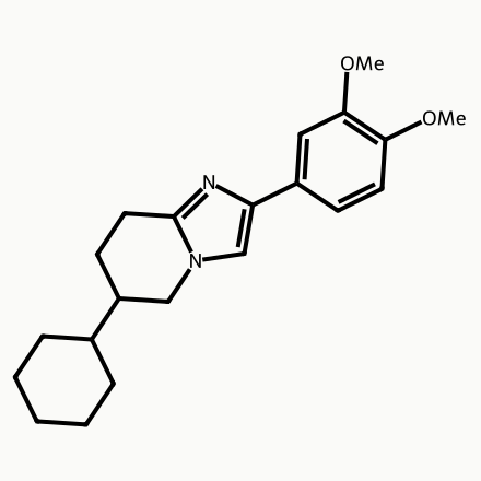 COc1ccc(-c2cn3c(n2)CCC(C2CCCCC2)C3)cc1OC